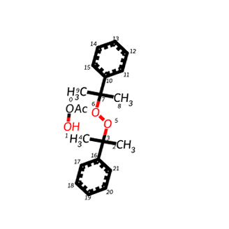 CC(=O)OO.CC(C)(OOC(C)(C)c1ccccc1)c1ccccc1